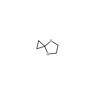 [CH]1COC2(CC2)O1